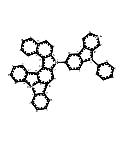 c1ccc(-n2c3ccc(-n4c5ccc6ccccc6c5c5c6c7ccccc7n7c8ccccc8c(cc54)c67)cc3c3ccncc32)cc1